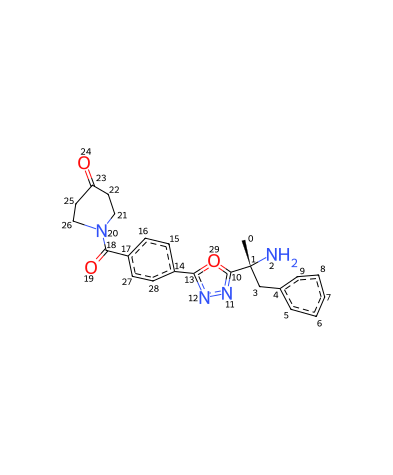 C[C@@](N)(Cc1ccccc1)c1nnc(-c2ccc(C(=O)N3CCC(=O)CC3)cc2)o1